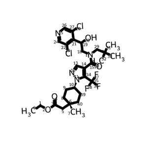 CCOC(=O)C[C@]1(C)CC[C@@H](n2ncc(C(=O)N(CC(O)c3c(Cl)cncc3Cl)CC(C)(C)C)c2C(F)(F)F)CC1